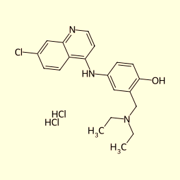 CCN(CC)Cc1cc(Nc2ccnc3cc(Cl)ccc23)ccc1O.Cl.Cl